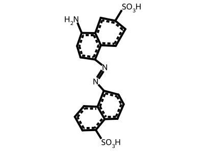 Nc1ccc(/N=N/c2cccc3c(S(=O)(=O)O)cccc23)c2ccc(S(=O)(=O)O)cc12